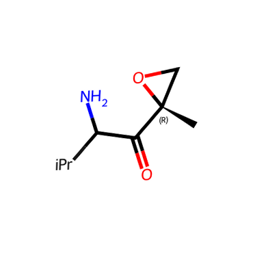 CC(C)C(N)C(=O)[C@@]1(C)CO1